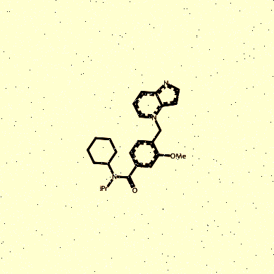 COc1cc(C(=O)N(C(C)C)C2CCCCC2)ccc1Cn1cccc2nccc1-2